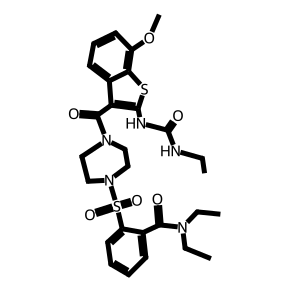 CCNC(=O)Nc1sc2c(OC)cccc2c1C(=O)N1CCN(S(=O)(=O)c2ccccc2C(=O)N(CC)CC)CC1